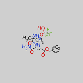 CC(C)(N)C(=O)N[C@H](CCC(=O)OCc1ccccc1)C(N)=O.O=C(O)C(F)(F)F